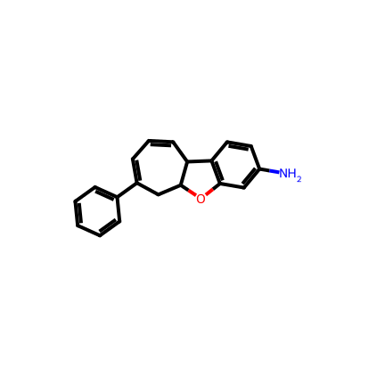 Nc1ccc2c(c1)OC1CC(c3ccccc3)=CC=CC21